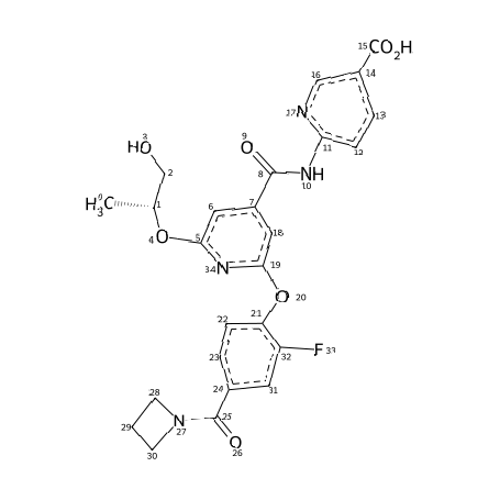 C[C@H](CO)Oc1cc(C(=O)Nc2ccc(C(=O)O)cn2)cc(Oc2ccc(C(=O)N3CCC3)cc2F)n1